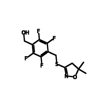 CC1(C)CC(SCc2c(F)c(F)c(CO)c(F)c2F)=NO1